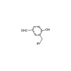 CC(C)Cc1cc(C=O)ccc1O